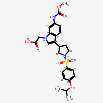 COC(=O)Nc1ccc2c(C3CCN(S(=O)(=O)c4ccc(OC(C)C)cc4)C3)cn(CC(=O)O)c2c1